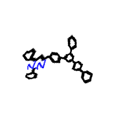 c1ccc(-c2ccc(-c3cc(-c4ccccc4)cc(-c4ccc(-c5cc(-c6ccccc6)nc(-c6ccccc6)n5)cc4)c3)cc2)cc1